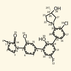 Cn1ccn(-c2ccc(-c3cc(F)cc(-c4ccc(Cl)c(N5CC[C@@](C)(O)C5)c4)c3O)cc2Cl)c1=O